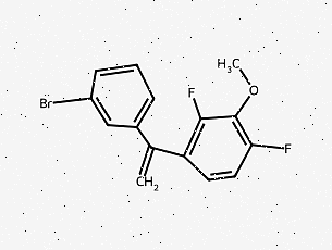 C=C(c1cccc(Br)c1)c1ccc(F)c(OC)c1F